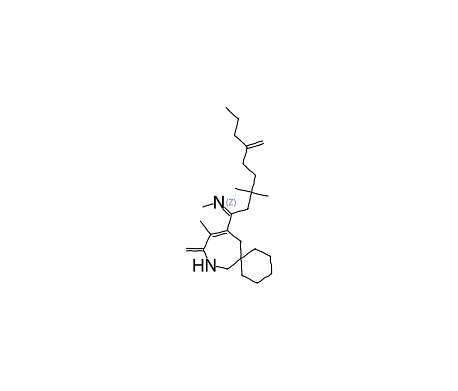 C=C(CCC)CCC(C)(C)C/C(=N/C)C1=C(C)C(=C)NCC2(CCCCC2)C1